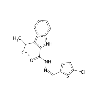 CC(C)c1c(C(=O)N/N=C\c2ccc(Cl)s2)[nH]c2ccccc12